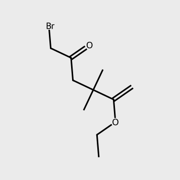 C=C(OCC)C(C)(C)CC(=O)CBr